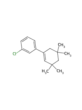 CC1(C)C=C(c2cccc(Cl)c2)CC(C)(C)C1